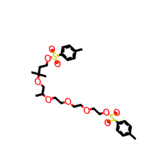 Cc1ccc(S(=O)(=O)OCCOCCOCCOC(C)COC(C)(C)CCOS(=O)(=O)c2ccc(C)cc2)cc1